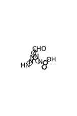 C[C@H](C=O)Oc1nc2c(c(N3CCNCC3)n1)CCN(c1cc(O)cc3ccccc13)C2